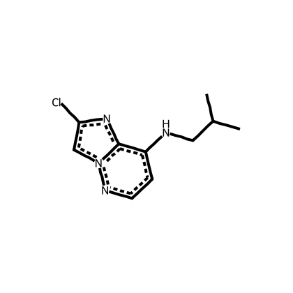 CC(C)CNc1ccnn2cc(Cl)nc12